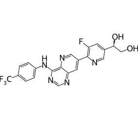 OC[C@H](O)c1cnc(-c2cnc3c(Nc4ccc(C(F)(F)F)cc4)ncnc3c2)c(F)c1